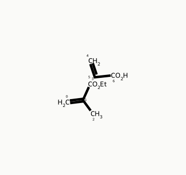 C=C(C)C(=O)OCC.C=CC(=O)O